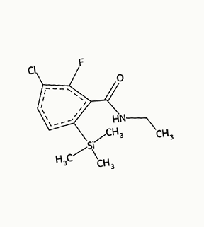 CCNC(=O)c1c([Si](C)(C)C)ccc(Cl)c1F